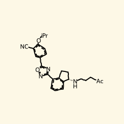 CC(=O)CCCN[C@H]1CCc2c(-c3noc(-c4ccc(OC(C)C)c(C#N)c4)n3)cccc21